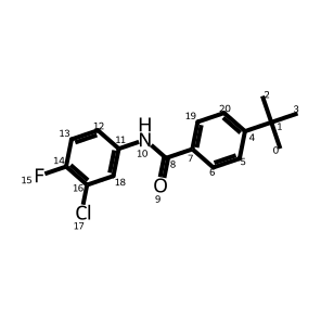 CC(C)(C)c1ccc(C(=O)Nc2ccc(F)c(Cl)c2)cc1